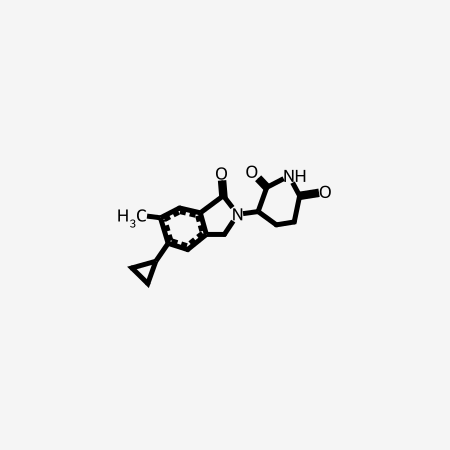 Cc1cc2c(cc1C1CC1)CN(C1CCC(=O)NC1=O)C2=O